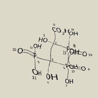 O=C(O)C(O)(C(O)(P(=O)(O)O)P(=O)(O)O)P(=O)(O)O